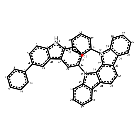 c1ccc(-c2ccc3[nH]c4ccc(-n5c6ccccc6c6ccc7c8ccccc8n(-c8ccccc8)c7c65)cc4c3c2)cc1